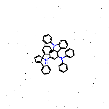 C1=CC(Nc2cc(N(c3ccccc3)c3ccccc3)c3c4ccccc4n(-c4ccccc4)c3c2)(c2ccccc2)C(c2ccccc2)=C1